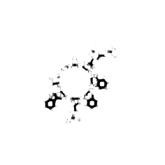 CC(=O)N[C@@H](CCCNC(=N)N)C(=O)N[C@H]1CC(=O)NCCCCC(C(N)=O)NC(=O)[C@H](Cc2c[nH]c3ccccc23)NC(=O)[C@H](CCCNC(=N)N)NC(=O)[C@@H](Cc2ccccc2)NC(=O)[C@H](Cc2ccc(O)cc2)NC1=O